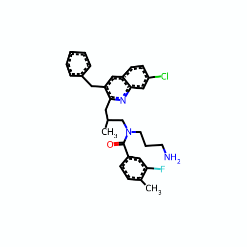 Cc1ccc(C(=O)N(CCCN)CC(C)Cc2nc3cc(Cl)ccc3cc2Cc2ccccc2)cc1F